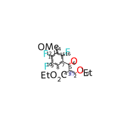 CCO/C=C(/C(=O)OCC)C(=O)c1cc(F)c(F)c(OC)c1F